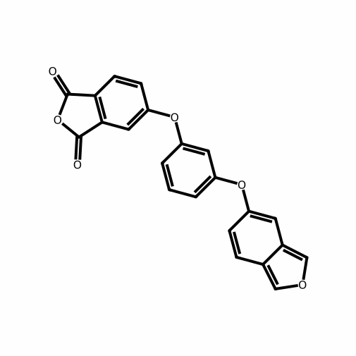 O=C1OC(=O)c2cc(Oc3cccc(Oc4ccc5cocc5c4)c3)ccc21